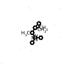 Cc1cc(-c2ccc3c(c2)C(C)(C)c2ccccc2-3)cc(-c2nc(-c3ccccc3)nc(-c3ccccc3)n2)c1